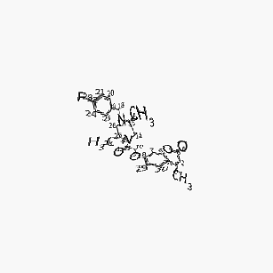 Cc1cc(=O)oc2cc(OCC(=O)N3C[C@@H](C)N(Cc4ccc(F)cc4)C[C@@H]3C)ccc12